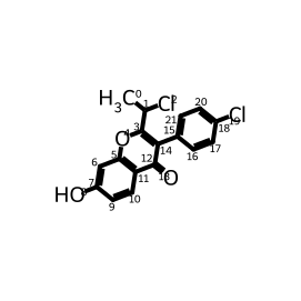 CC(Cl)c1oc2cc(O)ccc2c(=O)c1-c1ccc(Cl)cc1